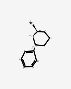 N#C[C@H]1CCC[C@H](c2ccccc2)O1